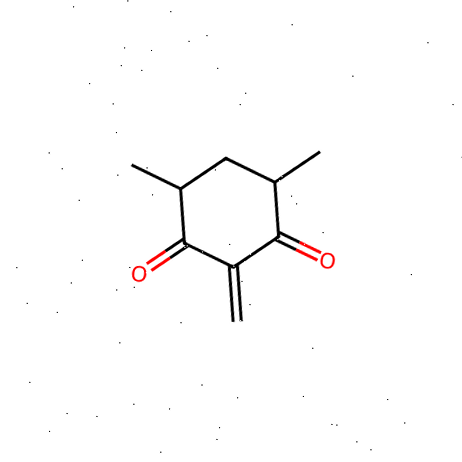 C=C1C(=O)C(C)CC(C)C1=O